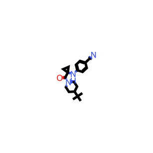 CC(C)(C)C1CCN(C(=O)C2(Nc3ccc(C#N)cc3)CC2)CC1